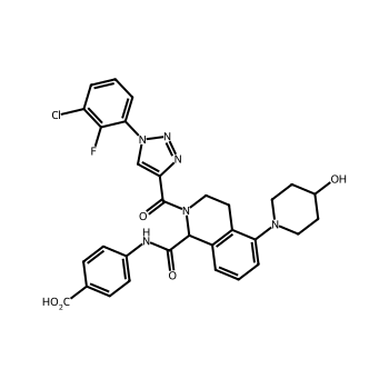 O=C(O)c1ccc(NC(=O)C2c3cccc(N4CCC(O)CC4)c3CCN2C(=O)c2cn(-c3cccc(Cl)c3F)nn2)cc1